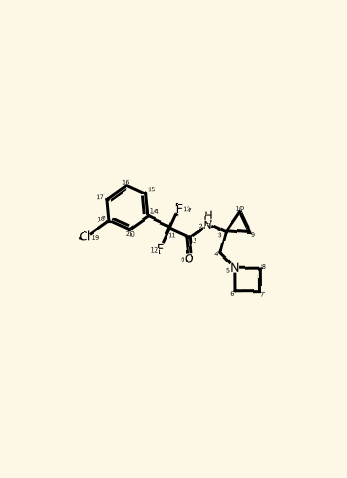 O=C(NC1(CN2CCC2)CC1)C(F)(F)c1cccc(Cl)c1